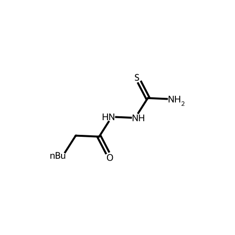 CCCCCC(=O)NNC(N)=S